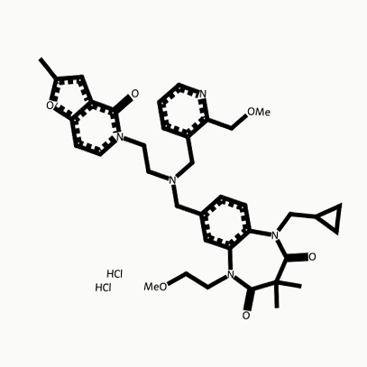 COCCN1C(=O)C(C)(C)C(=O)N(CC2CC2)c2ccc(CN(CCn3ccc4oc(C)cc4c3=O)Cc3cccnc3COC)cc21.Cl.Cl